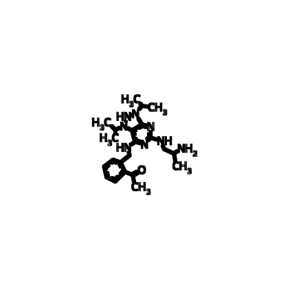 CC(=O)c1ccccc1CNc1nc(NCC(C)N)nc2c1N(C(C)C)NN2C(C)C